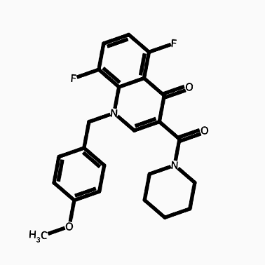 COc1ccc(Cn2cc(C(=O)N3CCCCC3)c(=O)c3c(F)ccc(F)c32)cc1